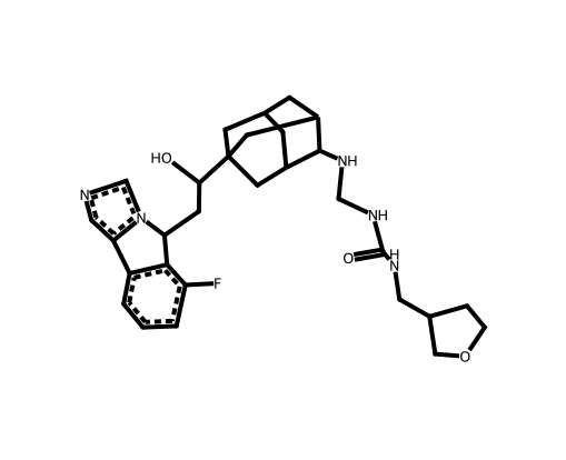 O=C(NCNC1C2CC3CC1CC(C(O)CC1c4c(F)cccc4-c4cncn41)(C3)C2)NCC1CCOC1